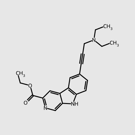 CCOC(=O)c1cc2c(cn1)[nH]c1ccc(C#CCN(CC)CC)cc12